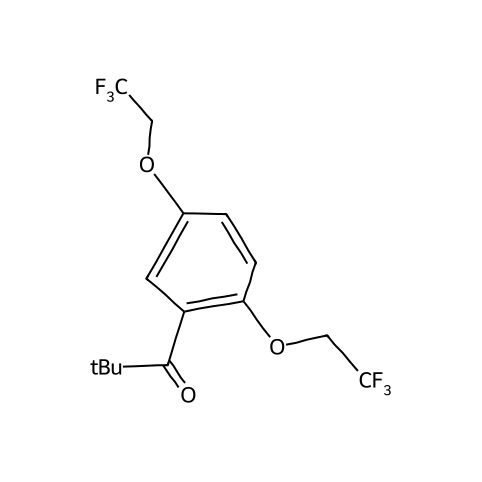 CC(C)(C)C(=O)c1cc(OCC(F)(F)F)ccc1OCC(F)(F)F